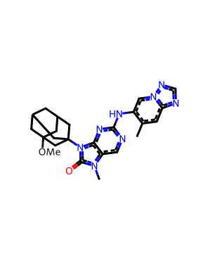 COC12CC3CC(C1)CC(n1c(=O)n(C)c4cnc(Nc5cn6ncnc6cc5C)nc41)(C3)C2